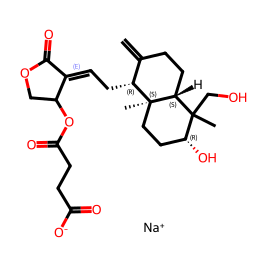 C=C1CC[C@@H]2C(C)(CO)[C@H](O)CC[C@@]2(C)[C@@H]1C/C=C1/C(=O)OCC1OC(=O)CCC(=O)[O-].[Na+]